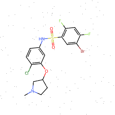 CN1CCC(Oc2cc(NS(=O)(=O)c3cc(Br)c(F)cc3F)ccc2Cl)C1